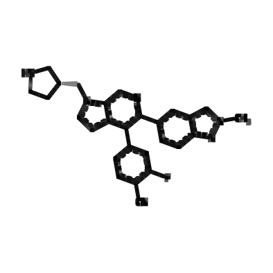 Cn1cc2cc(-c3ncc4c(ccn4C[C@@H]4CCNC4)c3-c3ccc(C#N)c(F)c3)ccc2n1